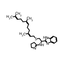 CC(C)=CCCC(C)=CCCC(C)=CCSCC(NC1=NCCC1)c1nc2ccccc2[nH]1